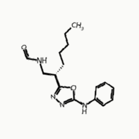 CCCCC[C@@H](CNC=O)c1nnc(Nc2ccccc2)o1